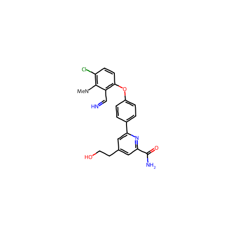 CNc1c(Cl)ccc(Oc2ccc(-c3cc(CCO)cc(C(N)=O)n3)cc2)c1C=N